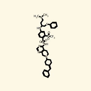 CN(C)CCC(CSc1ccccc1)Nc1ccc(S(=O)(=O)Nc2ncnc3c2CCN(C2CCC(=Cc4ccccc4)CC2)C3)c(S(=O)(=O)C(F)(F)F)c1